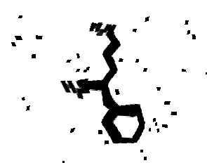 NCCCC([SiH3])c1ccccc1